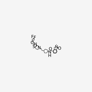 CN1Cc2c(C(=O)NC3CCC(CCN4CCc5sc(OC6CC(F)(F)C6)nc5C4)CC3)cccc2C1=O